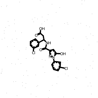 O=C(O)CC(NC(=O)c1cc(O)n(-c2cccc(Cl)c2)n1)c1cccc(Cl)c1